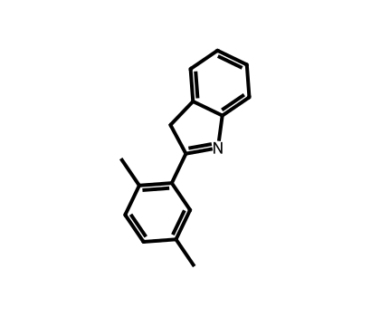 Cc1ccc(C)c(C2=Nc3ccccc3C2)c1